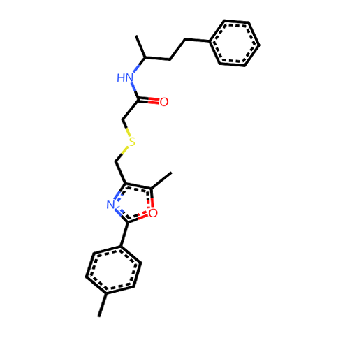 Cc1ccc(-c2nc(CSCC(=O)NC(C)CCc3ccccc3)c(C)o2)cc1